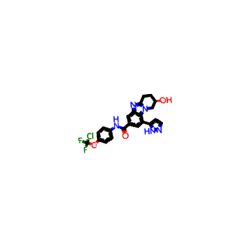 O=C(Nc1ccc(OC(F)(F)Cl)cc1)c1cc(-c2ccn[nH]2)c2c(c1)nc1n2C[C@H](O)CC1